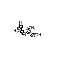 COc1nc(N2CCOC(CO)C2)cc(-n2ncc3cc(C)c(C4CCNCC4F)cc32)n1